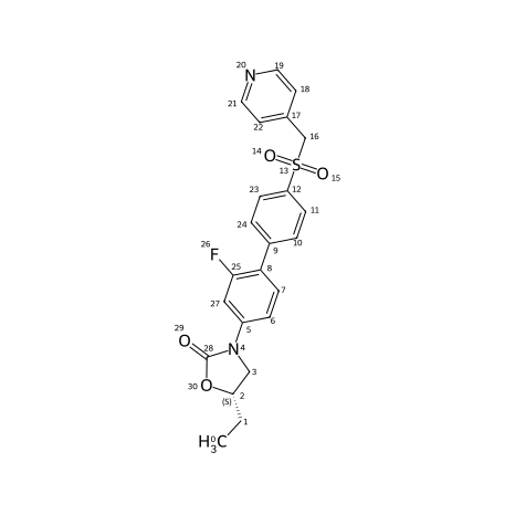 CC[C@H]1CN(c2ccc(-c3ccc(S(=O)(=O)Cc4ccncc4)cc3)c(F)c2)C(=O)O1